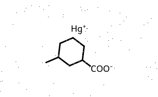 CC1CCCC(C(=O)[O-])C1.[Hg+]